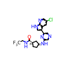 O=C(NCC(F)(F)F)[C@@H]1CC[C@@H](Nc2cncc(-c3c[nH]c4ncc(Cl)cc34)n2)C1